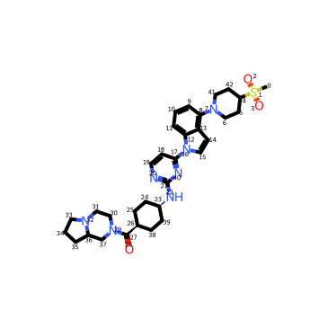 CS(=O)(=O)C1CCN(c2cccc3c2ccn3-c2ccnc(N[C@H]3CC[C@H](C(=O)N4CCN5CCCC5C4)CC3)n2)CC1